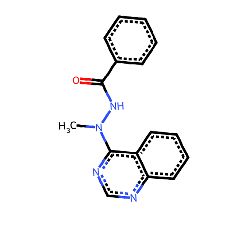 CN(NC(=O)c1ccccc1)c1ncnc2ccccc12